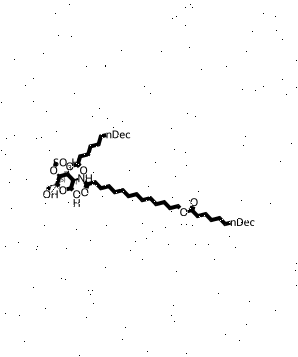 CCCCCCCCCCCCCCCC(=O)OCCCCCCCCCCCCCC(=O)N[C@H]1C(O)O[C@H](CO)[C@@H](OS(=O)(=O)O)[C@@H]1OC(=O)CCCCCCCCCCCCCCC